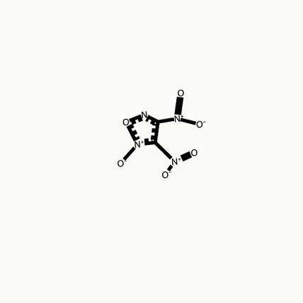 O=[N+]([O-])c1no[n+]([O-])c1[N+](=O)[O-]